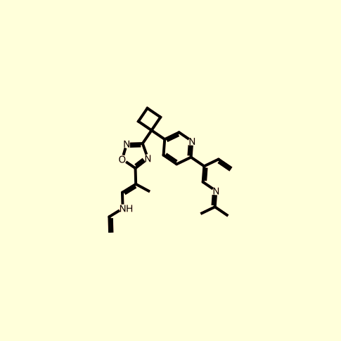 C=CN/C=C(\C)c1nc(C2(c3ccc(/C(C=C)=C/N=C(C)C)nc3)CCC2)no1